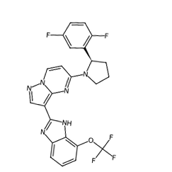 Fc1ccc(F)c([C@H]2CCCN2c2ccn3ncc(-c4nc5cccc(OC(F)(F)F)c5[nH]4)c3n2)c1